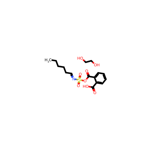 CCCCCC=NS(=O)(=O)OC(=O)c1ccccc1C(=O)O.OCCO